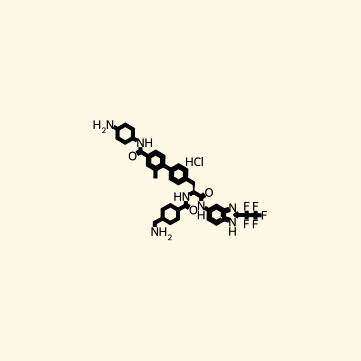 Cc1cc(C(=O)NC2CCC(N)CC2)ccc1-c1ccc(C[C@H](NC(=O)C2CCC(CN)CC2)C(=O)Nc2ccc3[nH]c(C(F)(F)C(F)(F)F)nc3c2)cc1.Cl